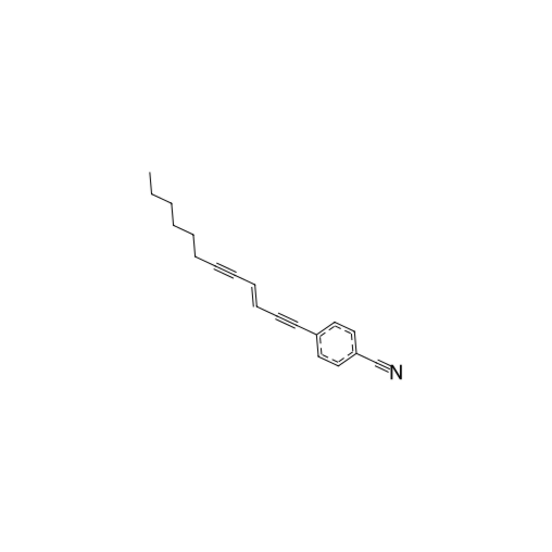 CCCCCCC#CC=CC#Cc1ccc(C#N)cc1